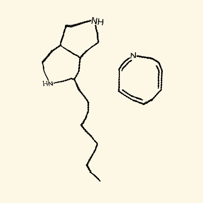 CCCCCC1NCC2CNCC21.c1ccncc1